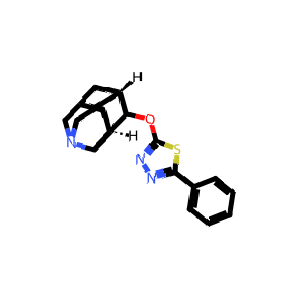 c1ccc(-c2nnc(OC3[C@@H]4CC5C[C@H]3CN(C5)C4)s2)cc1